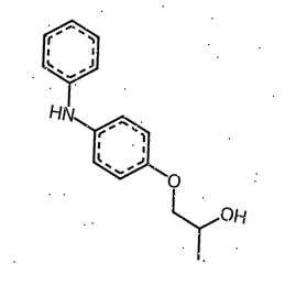 [CH2]C(O)COc1ccc(Nc2ccccc2)cc1